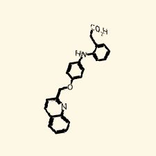 O=C(O)Cc1ccccc1Nc1ccc(OCc2ccc3ccccc3n2)cc1